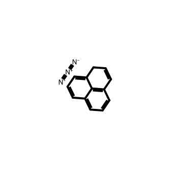 C1=Cc2cccc3cccc(c23)C1.[N-]=[N+]=[N-]